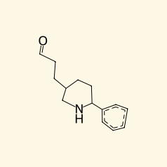 O=CCCC1CCC(c2ccccc2)NC1